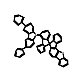 c1ccc(-c2ccc3c(c2)c2cc(-c4ccccc4)ccc2n3-c2cccc3c2-c2ccccc2C32c3ccccc3-c3c2ccc2c3oc3ccccc32)cc1